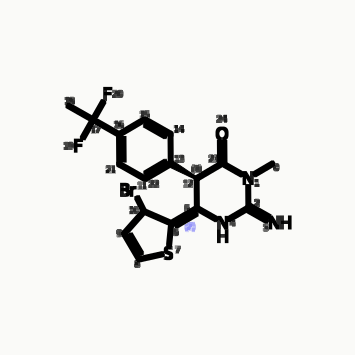 CN1C(=N)N/C(=C2\SC=CC2Br)[C@@H](c2ccc(C(C)(F)F)cc2)C1=O